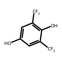 Oc1cc(C(F)(F)F)c(O)c(C(F)(F)F)c1